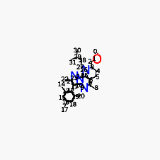 COCC1CCc2c(C)nc3c(-c4c(C)cc(C)cc4C)c(C)nn3c2N1CCC(C)C